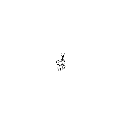 O=[Si]=O.[O-2].[O-2].[Ti+4]